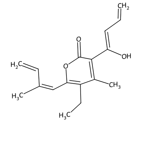 C=C/C=C(\O)c1c(C)c(CC)c(/C=C(/C)C=C)oc1=O